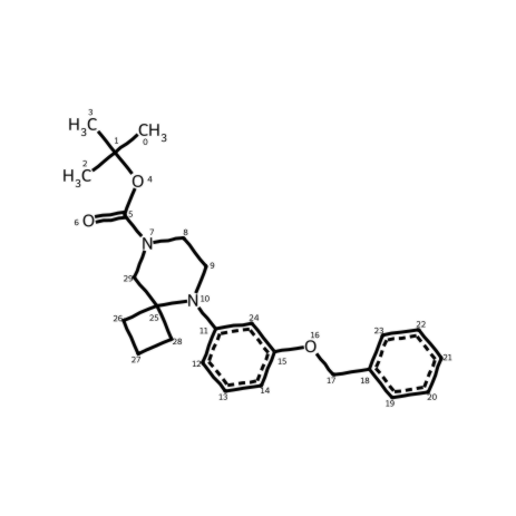 CC(C)(C)OC(=O)N1CCN(c2cccc(OCc3ccccc3)c2)C2(CCC2)C1